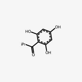 CC(C)C(=O)c1c(O)cc(O)cc1O